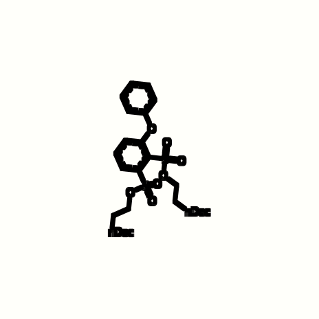 CCCCCCCCCCCCOS(=O)(=O)c1cccc(Oc2ccccc2)c1S(=O)(=O)OCCCCCCCCCCCC